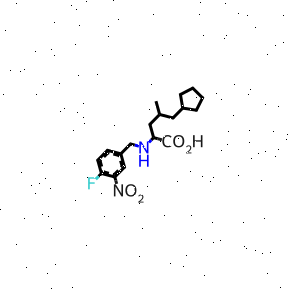 CC(CC1CCCC1)CC(NCc1ccc(F)c([N+](=O)[O-])c1)C(=O)O